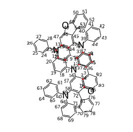 c1ccc(-c2cccc(-c3ccccc3)c2N(c2cccc(N(c3ccccc3)c3cc(N(c4ccccc4)c4ccccc4)c4c(c3)oc3ccccc34)c2)c2cc(N(c3ccccc3)c3ccccc3)c3c(c2)oc2ccccc23)cc1